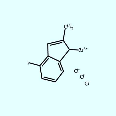 CC1=Cc2c(I)cccc2[CH]1[Zr+3].[Cl-].[Cl-].[Cl-]